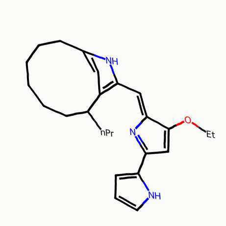 CCCC1CCCCCCc2cc1c(C=C1N=C(c3ccc[nH]3)C=C1OCC)[nH]2